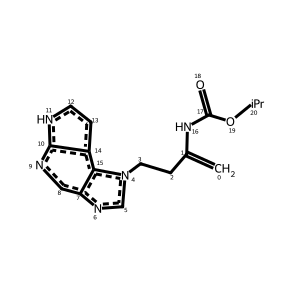 C=C(CCn1cnc2cnc3[nH]ccc3c21)NC(=O)OC(C)C